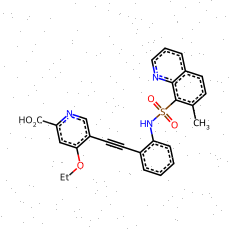 CCOc1cc(C(=O)O)ncc1C#Cc1ccccc1NS(=O)(=O)c1c(C)ccc2cccnc12